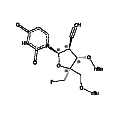 C#C[C@@H]1[C@H](n2ccc(=O)[nH]c2=O)O[C@](CF)(COCCCC)[C@H]1OCCCC